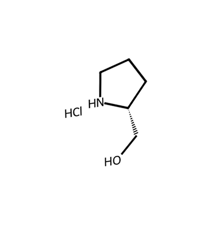 Cl.OC[C@H]1CCCN1